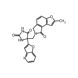 Cc1cc2c3c(ccc2o1)CN(CC1(c2cc4ncccc4o2)NC(=O)NC1=O)C3=O